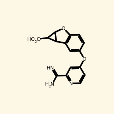 N=C(N)c1cc(Oc2ccc3c(c2)C2C(O3)C2C(=O)O)ccn1